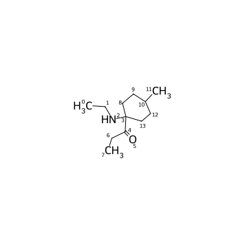 CCNC1(C(=O)CC)CCC(C)CC1